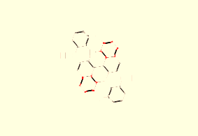 Cc1ccccc1P(c1ccccc1C)c1ccc2ccccc2c1-c1c(P(c2ccccc2C)c2ccccc2C)ccc2ccccc12